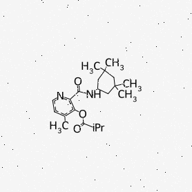 Cc1ccnc(C(=O)NC2CC(C)(C)CC(C)(C)C2)c1OC(=O)C(C)C